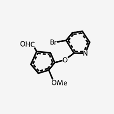 COc1ccc(C=O)cc1Oc1ncccc1Br